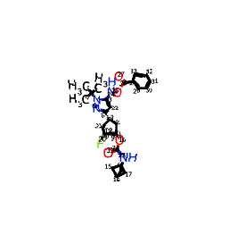 CC(C)(C)n1nc([C@@H]2C[C@H](OC(=O)NC34CC(C3)C4)[C@@H](F)C2)cc1NOC(=O)c1ccccc1